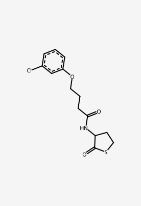 O=C(CCCOc1cccc(Cl)c1)NC1CCSC1=O